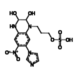 O=[N+]([O-])c1cc2c(cc1-n1ccnc1)N(CCCOS(=O)(=O)O)C(O)C(O)N2